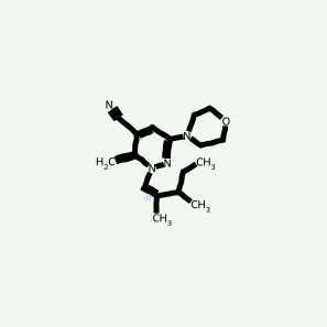 C=C1C(C#N)=CC(N2CCOCC2)=NN1/C=C(/C)C(C)CC